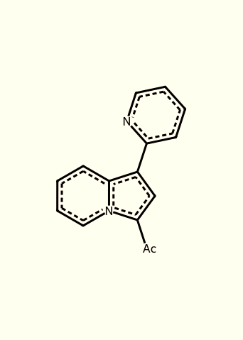 CC(=O)c1cc(-c2ccccn2)c2ccccn12